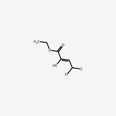 CCOC(=O)C(S)=CC(Cl)Cl